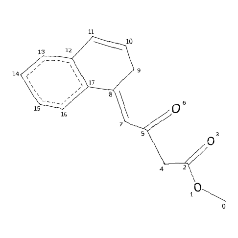 COC(=O)CC(=O)C=C1CC=Cc2ccccc21